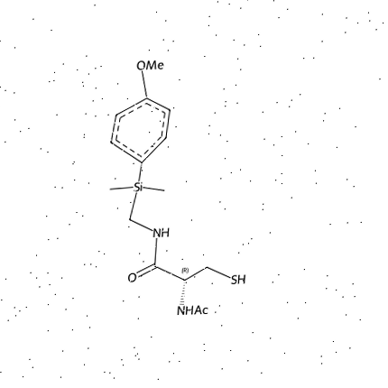 COc1ccc([Si](C)(C)CNC(=O)[C@H](CS)NC(C)=O)cc1